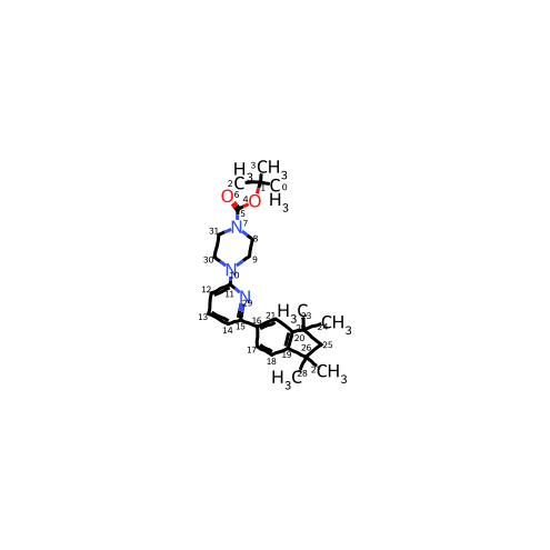 CC(C)(C)OC(=O)N1CCN(c2cccc(-c3ccc4c(c3)C(C)(C)CC4(C)C)n2)CC1